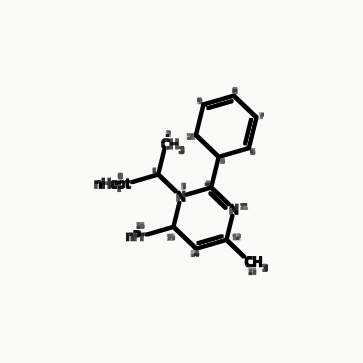 CCCCCCCC(C)N1C(C2C=CC=CC2)=NC(C)=CC1CCC